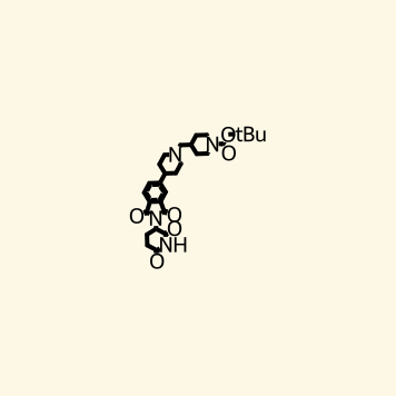 CC(C)(C)OC(=O)N1CCC(CN2CCC(c3ccc4c(c3)C(=O)N(C3CCC(=O)NC3=O)C4=O)CC2)CC1